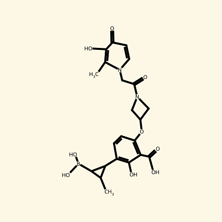 Cc1c(O)c(=O)ccn1CC(=O)N1CC(Oc2ccc(C3C(C)C3B(O)O)c(O)c2C(=O)O)C1